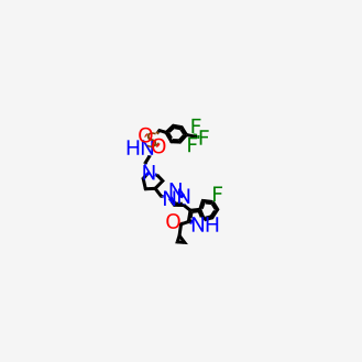 O=C(c1[nH]c2ccc(F)cc2c1-c1cn(CC2CCN(CCNS(=O)(=O)Cc3ccc(C(F)(F)F)cc3)CC2)nn1)C1CC1